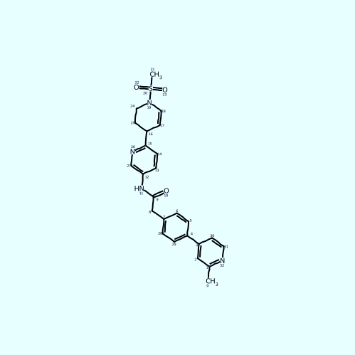 Cc1cc(-c2ccc(CC(=O)Nc3ccc(C4C=CN(S(C)(=O)=O)CC4)nc3)cc2)ccn1